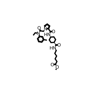 CCN(C(=O)Cn1cccc1C(=O)N[C@H]1CC[C@H](C(=O)NCCCCCC(=O)OC)CC1)c1cccc(C)c1